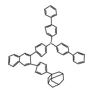 c1ccc(-c2ccc(N(c3ccc(-c4ccccc4)cc3)c3ccc(-c4cc5ccccc5cc4-c4ccc(C56CC7CC(CC(C7)C5)C6)cc4)cc3)cc2)cc1